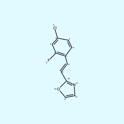 Fc1cc(Cl)ccc1C=Cc1ncco1